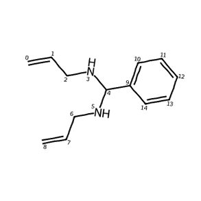 C=CCNC(NCC=C)c1ccccc1